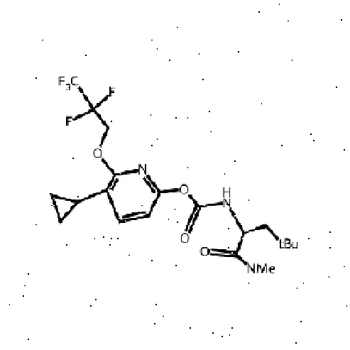 CNC(=O)[C@H](CC(C)(C)C)NC(=O)Oc1ccc(C2CC2)c(OCC(F)(F)C(F)(F)F)n1